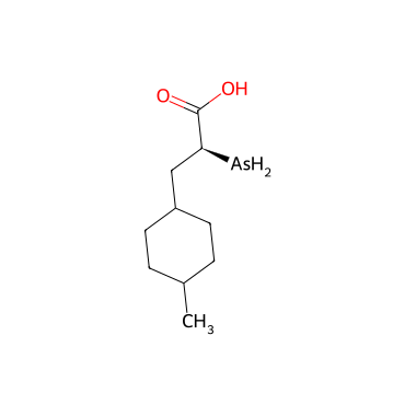 CC1CCC(C[C@H]([AsH2])C(=O)O)CC1